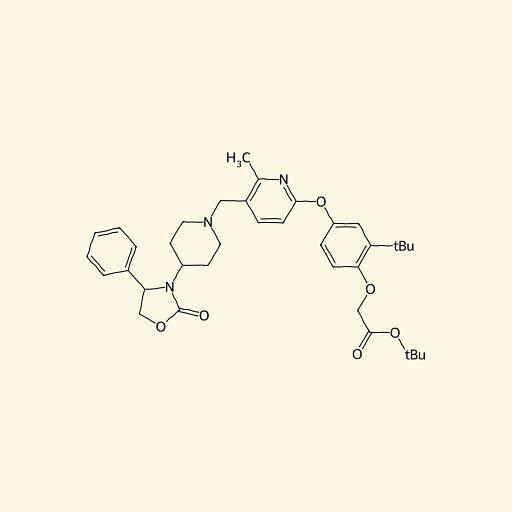 Cc1nc(Oc2ccc(OCC(=O)OC(C)(C)C)c(C(C)(C)C)c2)ccc1CN1CCC(N2C(=O)OCC2c2ccccc2)CC1